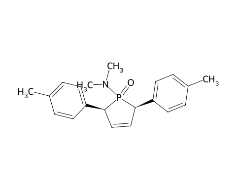 Cc1ccc([C@H]2C=C[C@@H](c3ccc(C)cc3)P2(=O)N(C)C)cc1